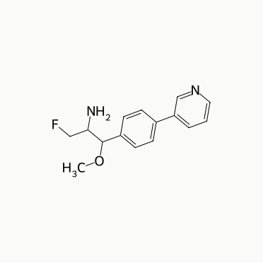 COC(c1ccc(-c2cccnc2)cc1)C(N)CF